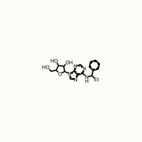 CCC(Nc1ncnc2c1ncn2C1OC(CO)C(O)C1O)c1ccccc1